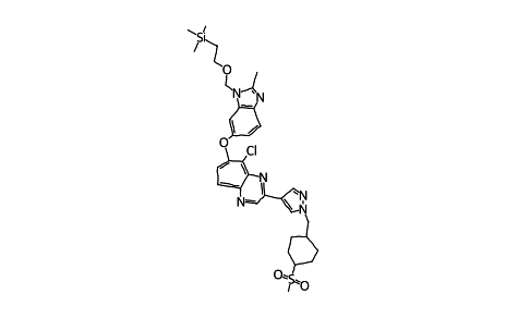 Cc1nc2ccc(Oc3ccc4ncc(-c5cnn(CC6CCC(S(C)(=O)=O)CC6)c5)nc4c3Cl)cc2n1COCC[Si](C)(C)C